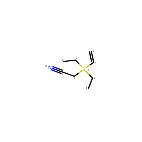 C=CS(CC)(CC)CC#N